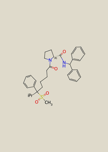 CC(C)C(CCCCC(=O)N1CCC[C@@H]1C(=O)NC(c1ccccc1)c1ccccc1)(c1ccccc1)S(C)(=O)=O